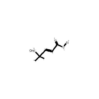 CCOC(=O)/C=C/C(C)(C)C=O